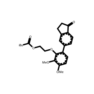 CCC(C)C(=O)OCCOc1c(-c2ccc3c(c2)CCC3=O)ccc(OC)c1OC